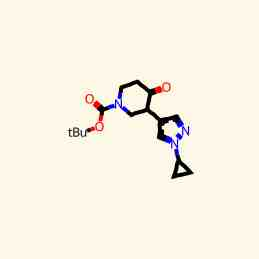 CC(C)(C)OC(=O)N1CCC(=O)C(c2cnn(C3CC3)c2)C1